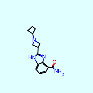 NC(=O)c1cccc2[nH]c(C3CN(C4CCC4)C3)nc12